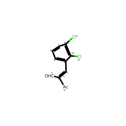 CC(=O)/C(C=O)=C/c1cccc(Cl)c1Cl